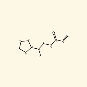 C=CC(=O)OCC(C)C1CCCC1